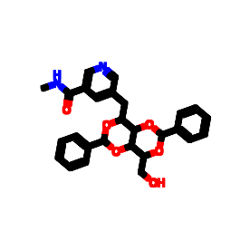 CNC(=O)c1cncc(CC2OC(c3ccccc3)OC3C(CO)OC(c4ccccc4)OC23)c1